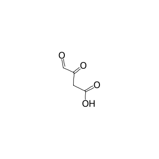 O=CC(=O)CC(=O)O